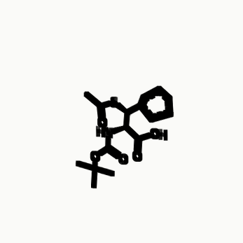 CC(=O)S[C@@H](c1ccccc1)[C@H](NC(=O)OC(C)(C)C)C(=O)O